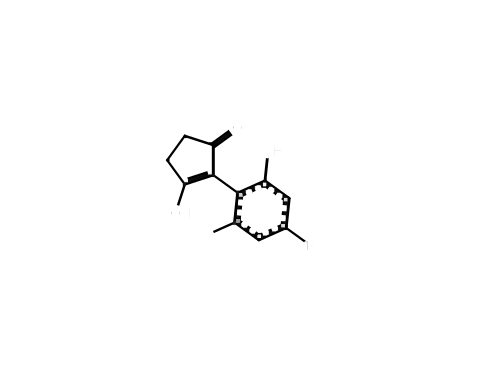 Cc1cc(Br)cc(C)c1C1=C(O)CCC1=O